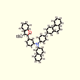 CC(C)(C)c1c(-c2cccc(N(c3ccc(-c4ccc5c(ccc6ccccc65)c4)cc3)c3ccc4ccccc4c3)c2)oc2ccccc12